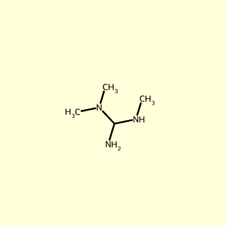 CNC(N)N(C)C